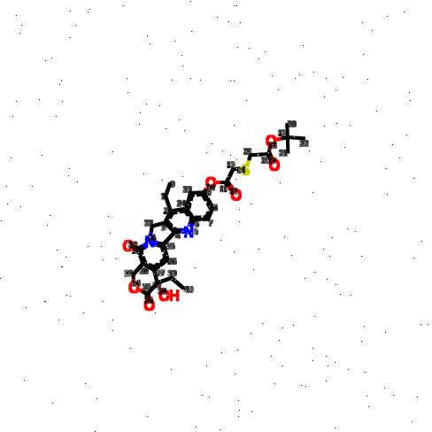 CCc1c2c(nc3ccc(OC(=O)CSCC(=O)OC(C)(C)C)cc13)-c1cc3c(c(=O)n1C2)COC(=O)[C@]3(O)CC